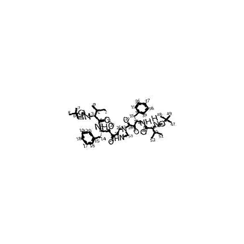 CC(C)[C@H](NOC(C)(C)C)C(=O)N[C@@H](Cc1ccccc1)C(=O)C(=O)C1CN(C(=O)C(=O)[C@H](Cc2ccccc2)NC(=O)[C@@H](NOC(C)(C)C)C(C)C)CN1